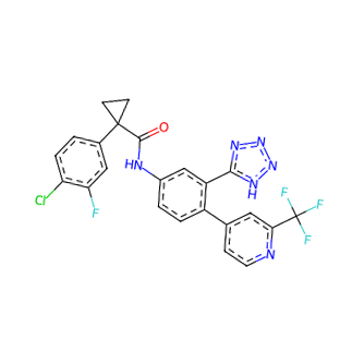 O=C(Nc1ccc(-c2ccnc(C(F)(F)F)c2)c(-c2nnn[nH]2)c1)C1(c2ccc(Cl)c(F)c2)CC1